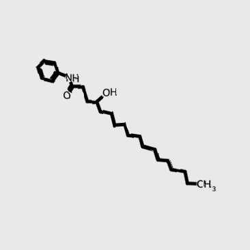 CCCCCCCCCCCCCCC(O)CCC(=O)Nc1ccccc1